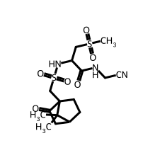 CC1(C)C2CCC1(CS(=O)(=O)NC(CS(C)(=O)=O)C(=O)NCC#N)C(=O)C2